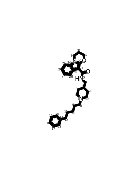 O=C(NCC1CCN(CCCCCc2ccccc2)CC1)c1c2n(c3ccccc13)CCCO2